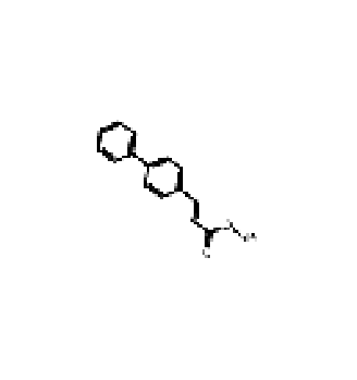 CCCOC(=O)C=Cc1ccc(-c2ccccc2)cc1